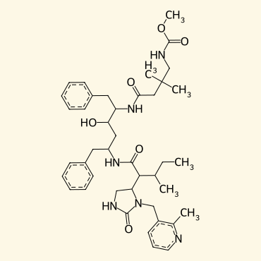 CCC(C)C(C(=O)NC(Cc1ccccc1)CC(O)C(Cc1ccccc1)NC(=O)CC(C)(C)CNC(=O)OC)C1CNC(=O)N1Cc1cccnc1C